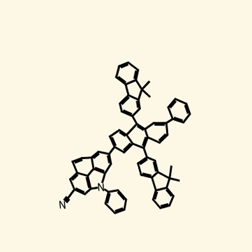 CC1(C)c2ccccc2-c2ccc(-c3c4ccc(-c5cc6ccc7cc(C#N)cc8c7c6c(c5)n8-c5ccccc5)cc4c(-c4ccc5c(c4)C(C)(C)c4ccccc4-5)c4ccc(-c5ccccc5)cc34)cc21